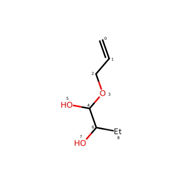 C=CCOC(O)C(O)CC